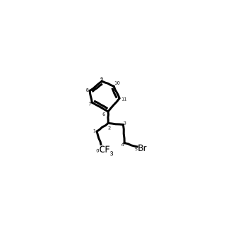 FC(F)(F)CC(CCBr)c1ccccc1